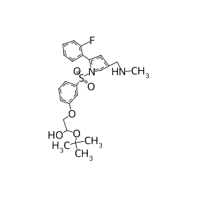 CNCc1cc(-c2ccccc2F)n(S(=O)(=O)c2cccc(OCC(O)OC(C)(C)C)c2)c1